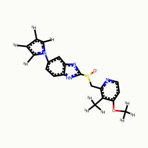 [2H]c1c([2H])c([2H])n(-c2ccc3[nH]c([S+]([O-])Cc4nccc(OC([2H])([2H])[2H])c4C([2H])([2H])[2H])nc3c2)c1[2H]